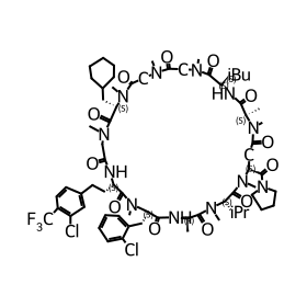 CC[C@H](C)[C@@H]1NC(=O)[C@H](C)N(C)C(=O)C[C@@H](C(=O)N2CCCC2)N(C)C(=O)[C@H](C(C)C)N(C)C(=O)[C@@H](C)NC(=O)[C@H](Cc2ccccc2Cl)N(C)C(=O)[C@H](CCc2ccc(C(F)(F)F)c(Cl)c2)NC(=O)CN(C)C(=O)[C@H](CC2CCCCC2)N(C)C(=O)CN(C)C(=O)CN(C)C1=O